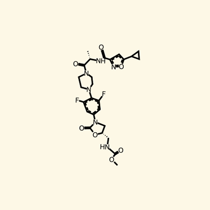 COC(=O)NC[C@H]1CN(c2cc(F)c(N3CCN(C(=O)[C@H](C)NC(=O)c4cc(C5CC5)on4)CC3)c(F)c2)C(=O)O1